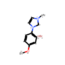 Br.CCCN1C=CN(c2ccc(OCC)cc2)C1